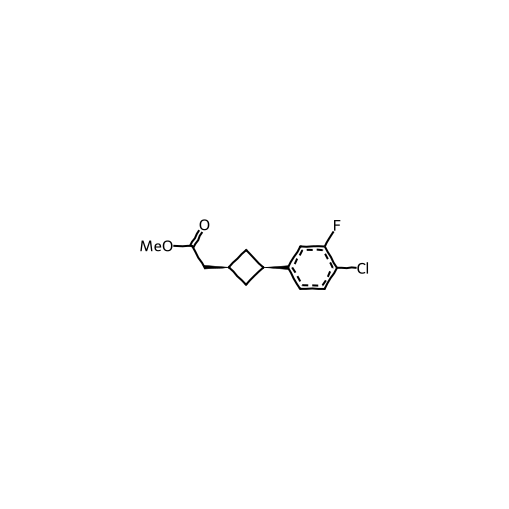 COC(=O)C[C@H]1C[C@@H](c2ccc(Cl)c(F)c2)C1